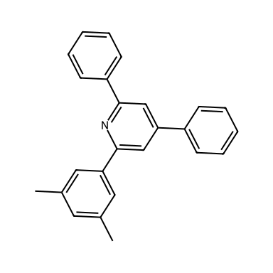 Cc1cc(C)cc(-c2cc(-c3ccccc3)cc(-c3ccccc3)n2)c1